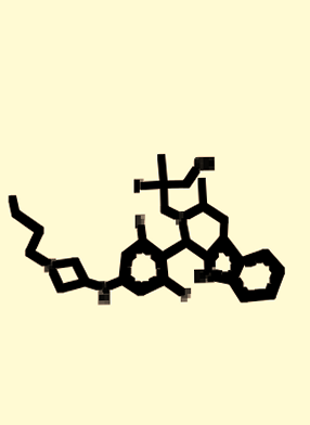 CCCCN1CC(Nc2cc(F)c(C3c4[nH]c5ccccc5c4CC(C)N3CC(C)(F)CO)c(F)c2)C1